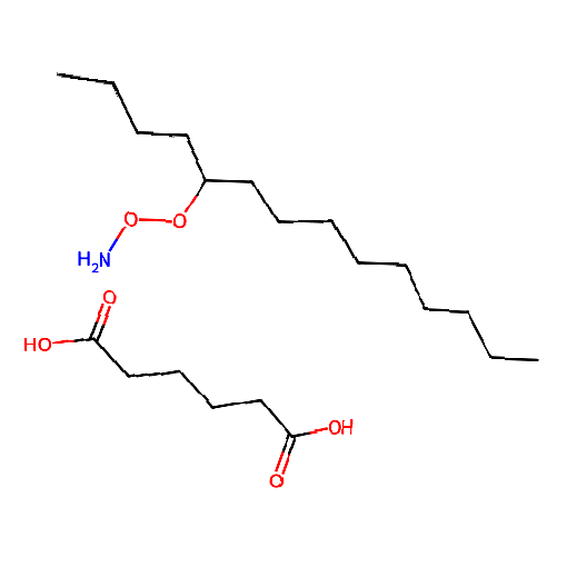 CCCCCCCCCC(CCCC)OON.O=C(O)CCCCC(=O)O